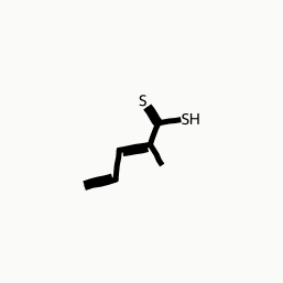 C=C/C=C(\C)C(=S)S